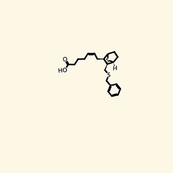 O=C(O)CCC/C=C\C[C@H]1C2CC[C@H](S2)[C@H]1CSCc1ccccc1